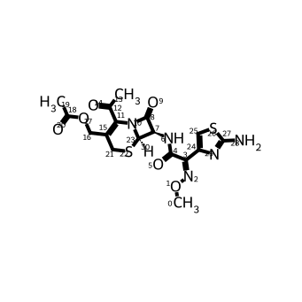 CO/N=C(\C(=O)N[C@@H]1C(=O)N2C(C(C)=O)=C(COC(C)=O)CS[C@H]12)c1csc(N)n1